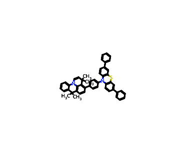 CC1(C)C=CN2c3ccccc3C(C)(C)c3ccc(-c4ccc(N5c6ccc(-c7ccccc7)cc6Sc6cc(-c7ccccc7)ccc65)cc4)c1c32